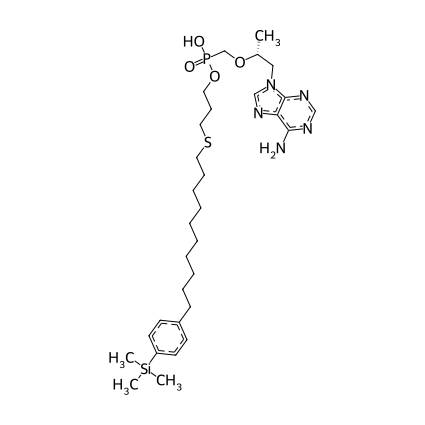 C[C@H](Cn1cnc2c(N)ncnc21)OCP(=O)(O)OCCCSCCCCCCCCCCc1ccc([Si](C)(C)C)cc1